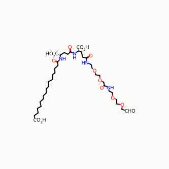 O=CCOCCOCCNC(=O)COCCOCCNC(=O)CC[C@H](NC(=O)CC[C@H](NC(=O)CCCCCCCCCCCCCCCCC(=O)O)C(=O)O)C(=O)O